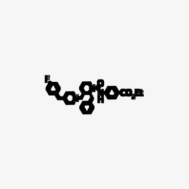 CCOC(=O)c1ccc(NC(=O)N2CCC[C@H](CN3CCC(Cc4ccc(F)cc4)CC3)[C@H]2Cc2ccccc2)cc1